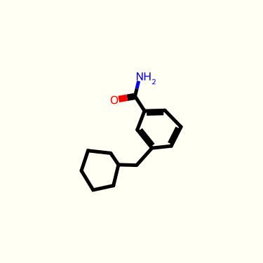 NC(=O)c1cccc(CC2CCCCC2)c1